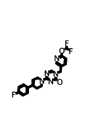 O=c1nc(N2CC=C(c3ccc(F)cc3)CC2)ncn1Cc1ccc(OC(F)F)nc1